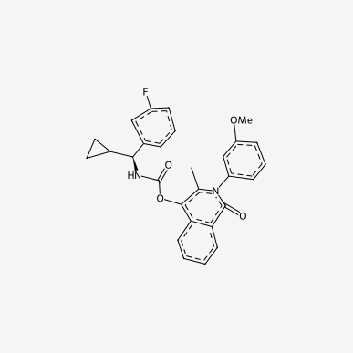 COc1cccc(-n2c(C)c(OC(=O)N[C@H](c3cccc(F)c3)C3CC3)c3ccccc3c2=O)c1